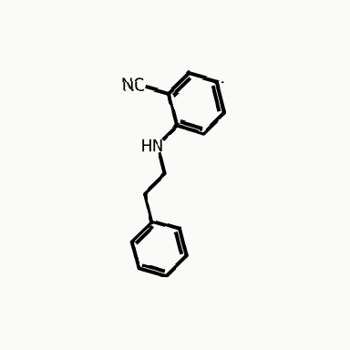 N#Cc1c[c]ccc1NCCc1ccccc1